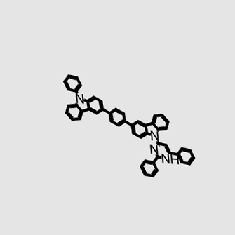 C1=C(c2ccccc2)NC(c2ccccc2)N=C1n1c2ccccc2c2cc(-c3ccc(-c4ccc5c(c4)c4ccccc4n5-c4ccccc4)cc3)ccc21